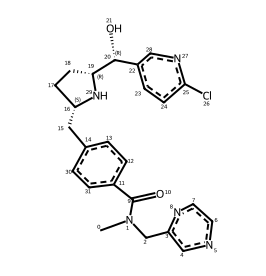 CN(Cc1cnccn1)C(=O)c1ccc(C[C@@H]2CC[C@H]([C@H](O)c3ccc(Cl)nc3)N2)cc1